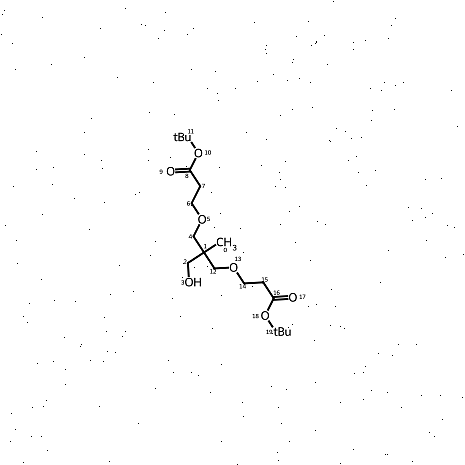 CC(CO)(COCCC(=O)OC(C)(C)C)COCCC(=O)OC(C)(C)C